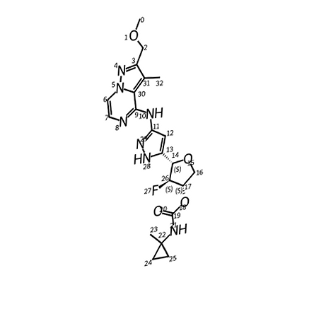 COCc1nn2ccnc(Nc3cc([C@@H]4OC[C@H](OC(=O)NC5(C)CC5)[C@H]4F)[nH]n3)c2c1C